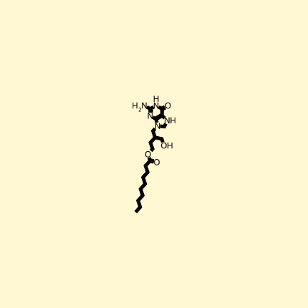 CCCCCCCCCC(=O)OCCC(CO)CN1CNc2c1nc(N)[nH]c2=O